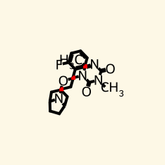 Cc1nc(=O)n(C)c(=O)n1CCCN1C2CCC1CC(OCc1ccccc1F)C2